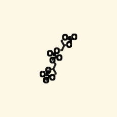 O=S1OCC(COS(=O)(=O)OCC2COS(=O)(=O)O2)O1